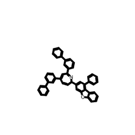 C1=CC(c2cc(-c3ccccc3)c3c(c2)oc2ccccc23)N=C(c2cccc(-c3ccccc3)c2)C=C1c1cccc(-c2ccccc2)c1